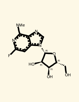 CNc1nc(F)cc2c1ncn2[C@@H]1O[C@H](CO)[C@@H](O)[C@H]1O